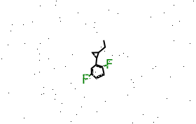 CCC1CC1c1cc(F)ccc1F